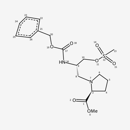 COC(=O)[C@@H]1CCCN1C[C@@H](COS(C)(=O)=O)NC(=O)OCc1ccccc1